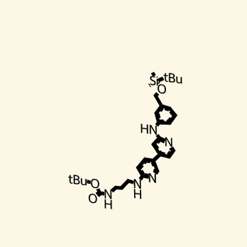 CC(C)(C)OC(=O)NCCCNc1ccc(-c2ccnc(Nc3cccc(CO[Si](C)(C)C(C)(C)C)c3)c2)cn1